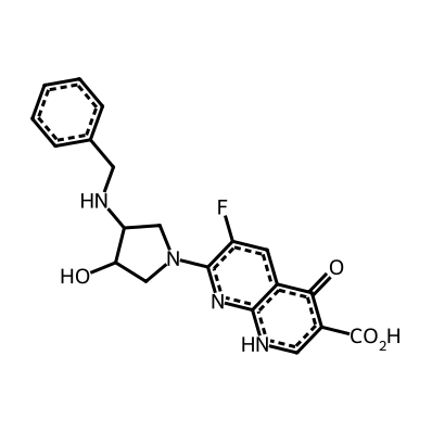 O=C(O)c1c[nH]c2nc(N3CC(O)C(NCc4ccccc4)C3)c(F)cc2c1=O